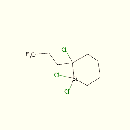 FC(F)(F)CCC1(Cl)CCCC[Si]1(Cl)Cl